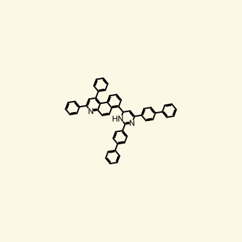 C1=C(c2ccc(-c3ccccc3)cc2)N=C(c2ccc(-c3ccccc3)cc2)NC1c1cccc2c1ccc1nc(-c3ccccc3)cc(-c3ccccc3)c12